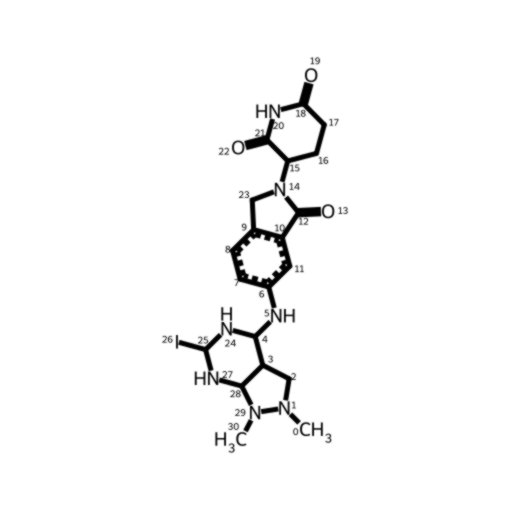 CN1CC2C(Nc3ccc4c(c3)C(=O)N(C3CCC(=O)NC3=O)C4)NC(I)NC2N1C